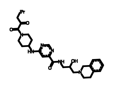 CC(C)CC(=O)C(=O)N1CCC(Nc2cc(C(=O)NCC(O)CN3CCc4ccccc4C3)ncn2)CC1